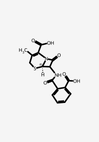 CC1=C(C(=O)O)N2C(=O)C(NC(=O)c3ccccc3C(=O)O)[C@H]2SC1